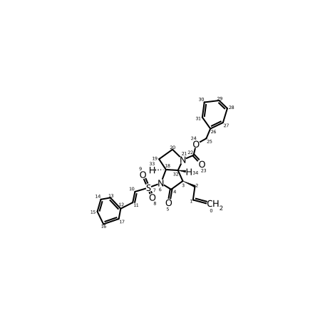 C=CC[C@H]1C(=O)N(S(=O)(=O)C=Cc2ccccc2)[C@H]2CCN(C(=O)OCc3ccccc3)[C@H]12